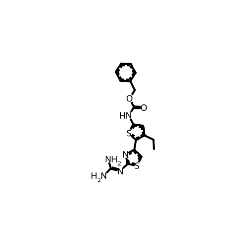 CCc1cc(NC(=O)OCc2ccccc2)sc1-c1csc(N=C(N)N)n1